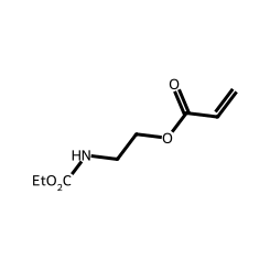 C=CC(=O)OCCNC(=O)OCC